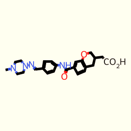 CN1CCN(N=Cc2ccc(NC(=O)c3ccc4c(c3)OCC(CC(=O)O)C4)cc2)CC1